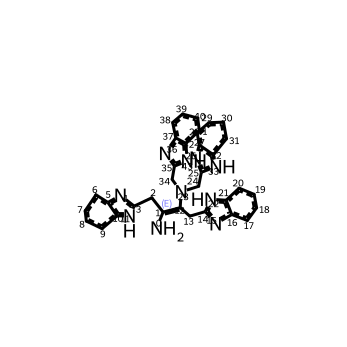 N/C(Cc1nc2ccccc2[nH]1)=C(\Cc1nc2ccccc2[nH]1)N(Cc1nc2ccccc2[nH]1)Cc1nc2ccccc2[nH]1